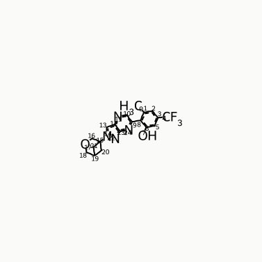 Cc1cc(C(F)(F)F)cc(O)c1-c1cnc2cn(C34COCC(C3)C4)nc2n1